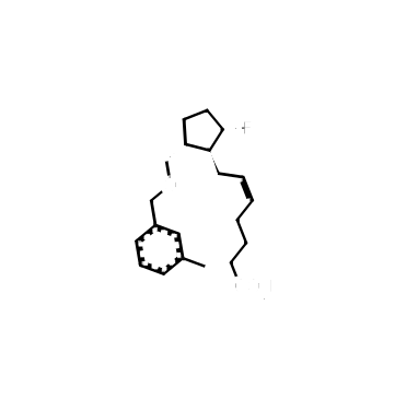 Cc1cccc(COC[C@@H]2CC[C@H](F)[C@H]2C/C=C\CCCC(=O)O)c1